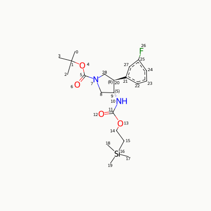 CC(C)(C)OC(=O)N1C[C@@H](NC(=O)OCC[Si](C)(C)C)[C@H](c2cccc(F)c2)C1